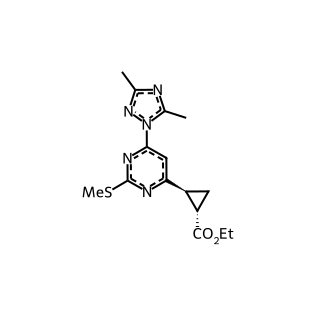 CCOC(=O)[C@H]1C[C@@H]1c1cc(-n2nc(C)nc2C)nc(SC)n1